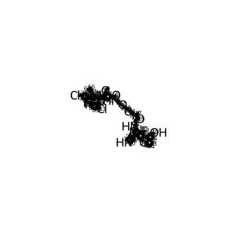 COc1cc(C(=O)NCCOCCOCCN(C)C(=O)CCNc2nc(N3CCNCC3)c3cc(Cl)c(-c4cc(O)cc5ccccc45)c(F)c3n2)ccc1NC(=O)[C@@H]1N[C@@H](CC(C)(C)C)[C@](C#N)(c2ccc(Cl)cc2F)[C@H]1c1cccc(Cl)c1F